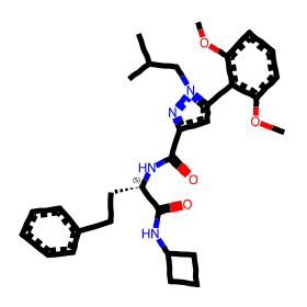 COc1cccc(OC)c1-c1cc(C(=O)N[C@@H](CCc2ccccc2)C(=O)NC2CCC2)nn1CC(C)C